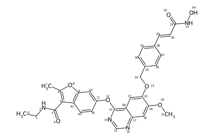 CCNC(=O)c1c(C)oc2cc(Oc3ncnc4cc(OC)c(OCc5ccc(/C=C/C(=O)NO)cc5)cc34)ccc12